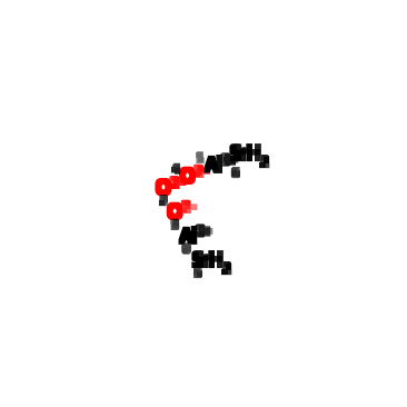 [Al+3].[Al+3].[O-2].[O-2].[O-2].[SrH2].[SrH2]